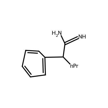 CCCC(C(=N)N)c1ccccc1